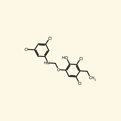 CCc1c(Cl)cc(OCNc2cc(Cl)cc(Cl)c2)c(O)c1Cl